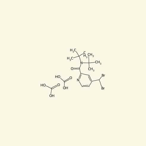 CC(C)(C)N(C(=O)c1cc(C(Br)Br)ccn1)C(C)(C)C.O=C(O)O.O=C(O)O